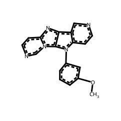 COc1cccc(-n2c3ccncc3c3nc4ccncn4c32)c1